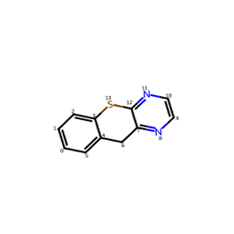 c1ccc2c(c1)Cc1nccnc1S2